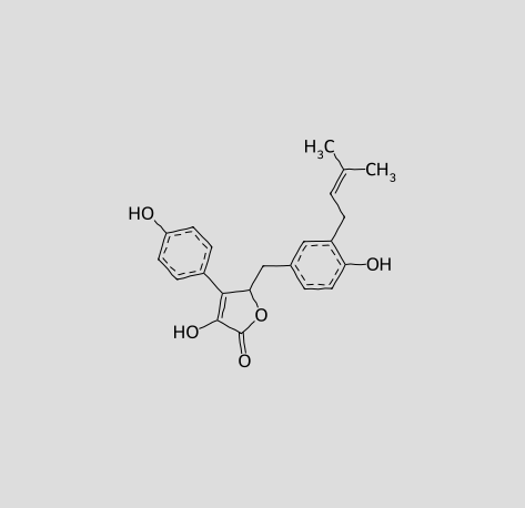 CC(C)=CCc1cc(CC2OC(=O)C(O)=C2c2ccc(O)cc2)ccc1O